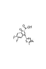 Cc1nnc(-n2cc(C(=O)O)c(=O)c3cc(F)c(F)cc32)s1